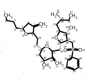 C=C1C[C@H](CCCC)OC1CC[C@H]1C[C@@H](C)C(=C)C(C[C@@H]2OC(C[C@H](C)CC)[C@H](C)[C@H]2CS(=O)(=O)c2ccccc2)O1